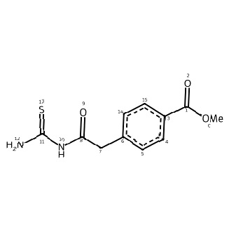 COC(=O)c1ccc(CC(=O)NC(N)=S)cc1